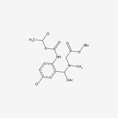 CC(=O)OC(c1cc(Cl)ccc1NC(=O)OC(C)Cl)N(C)CC(=O)OC(C)(C)C